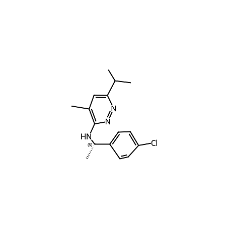 Cc1cc(C(C)C)nnc1N[C@@H](C)c1ccc(Cl)cc1